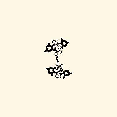 Cc1ccc(C(=O)P(=O)(CC(=O)OCCCOC(=O)CP(=O)(C(=O)c2c(C)cc(C)cc2C)C(=O)c2c(C)cc(C)cc2C)C(=O)c2c(C)cc(C)cc2C)c(C)c1